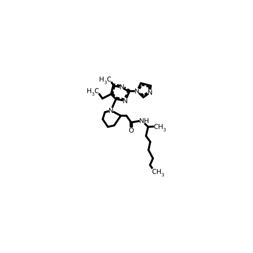 CCCCCCC(C)NC(=O)CC1CCCCN1c1nc(-n2ccnc2)nc(C)c1CC